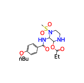 CCCCOc1ccc(C(=O)NC2C(OC(=O)CC)NCCN2S(C)(=O)=O)cc1